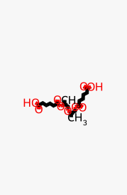 CC(COC(=O)CCCCC(=O)O)OCC(C)OC(=O)CCCCC(=O)O